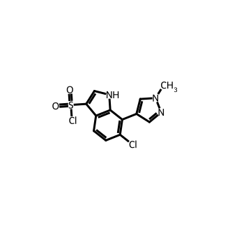 Cn1cc(-c2c(Cl)ccc3c(S(=O)(=O)Cl)c[nH]c23)cn1